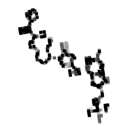 Cc1cn2nc(COC(F)(F)F)cc2c(Nc2cc([C@@H]3CC[C@H](OC(=O)NC45CC(C4)C5)[C@H]3F)[nH]n2)n1